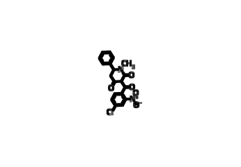 CN1C(=O)C(C(=O)c2ccc(Cl)cc2[N+](=O)[O-])C(=O)CC1c1ccccc1